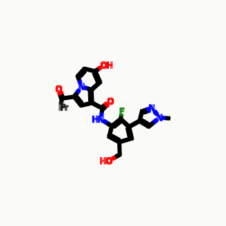 CC(C)C(=O)c1cc(C(=O)Nc2cc(CO)cc(-c3cnn(C)c3)c2F)c2cc(O)ccn12